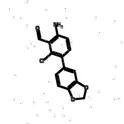 Nc1ccc(-c2ccc3c(c2)OCO3)c(Cl)c1C=O